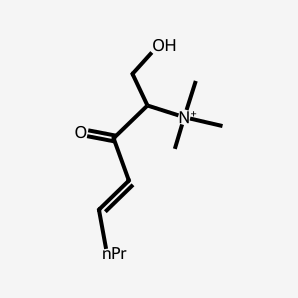 CCC/C=C/C(=O)C(CO)[N+](C)(C)C